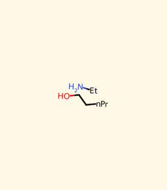 CCCCCO.CCN